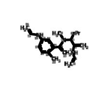 C=CNC(=C)C(CCC)N(C)C(=C)c1cc(NC=C)ccc1C